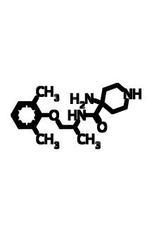 Cc1cccc(C)c1OCC(C)NC(=O)C1(N)CCNCC1